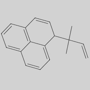 C=CC(C)(C)C1C=Cc2cccc3cccc1c23